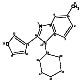 Cc1ccc2c(c1)nc(-c1ccoc1)n2C1CCCCC1